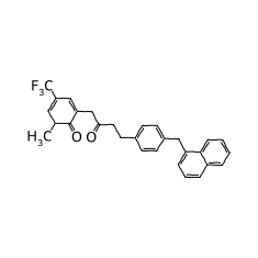 CC1C=C(C(F)(F)F)C=C(CC(=O)CCc2ccc(Cc3cccc4ccccc34)cc2)C1=O